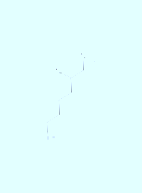 CCC(C)CCCCC(N)CN